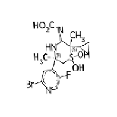 C[C@@]1(c2cc(Br)ncc2F)CS(O)(O)[C@@](C)(C2CC2)C(=NC(=O)O)N1